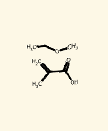 C=C(C)C(=O)O.CCOC